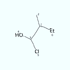 CCC(C)C(O)Cl